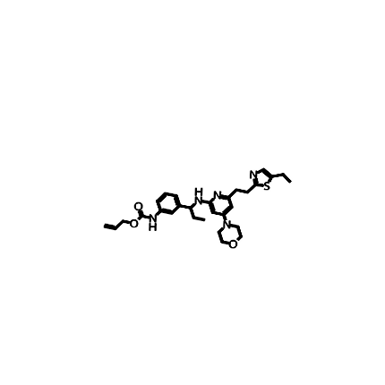 C=CCOC(=O)Nc1cccc(C(CC)Nc2cc(N3CCOCC3)cc(CCc3ncc(CC)s3)n2)c1